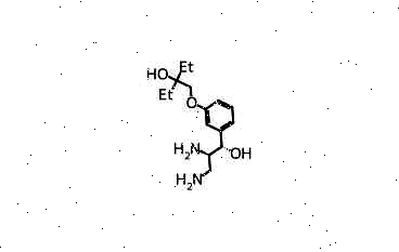 CCC(O)(CC)COc1cccc([C@H](O)[C@H](N)CN)c1